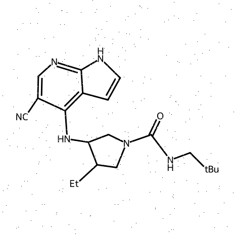 CCC1CN(C(=O)NCC(C)(C)C)CC1Nc1c(C#N)cnc2[nH]ccc12